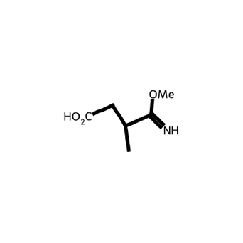 COC(=N)C(C)CC(=O)O